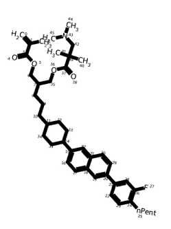 C=C(C)C(=O)OCC(CCCC1CCC(c2ccc3cc(-c4ccc(CCCCC)c(F)c4)ccc3c2)CC1)COC(=O)C(C)(C)CN(C)C